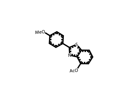 COc1ccc(-c2nc3c(OC(C)=O)cccc3s2)cc1